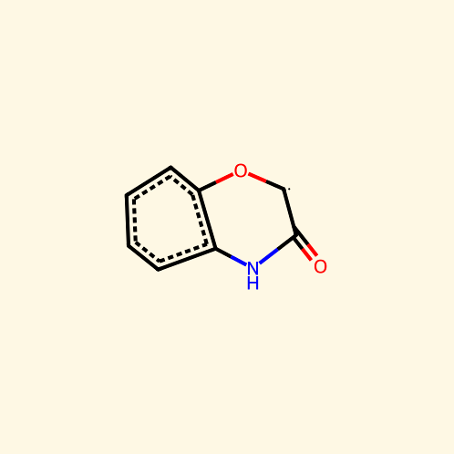 O=C1[CH]Oc2ccccc2N1